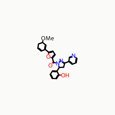 COC1C=C(c2ccc(C(=O)N3N=C(c4cccnc4)CC3c3ccccc3O)o2)C=CC1